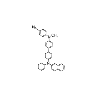 CN(c1ccc(C#N)cc1)c1ccc(-c2ccc(N(c3ccccc3)c3ccc4ccccc4c3)cc2)cc1